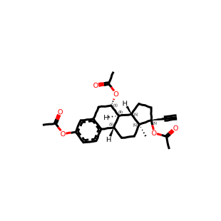 C#C[C@]1(OC(C)=O)CC[C@H]2[C@@H]3[C@@H](OC(C)=O)Cc4cc(OC(C)=O)ccc4[C@H]3CC[C@@]21C